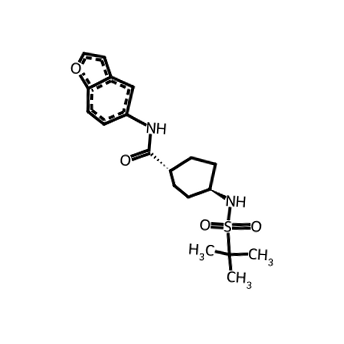 CC(C)(C)S(=O)(=O)N[C@H]1CC[C@H](C(=O)Nc2ccc3occc3c2)CC1